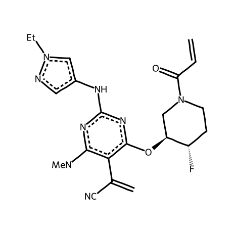 C=CC(=O)N1CC[C@H](F)[C@@H](Oc2nc(Nc3cnn(CC)c3)nc(NC)c2C(=C)C#N)C1